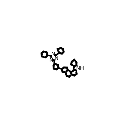 c1ccc(-c2nc(-c3ccccc3)nc(-c3cccc(-c4ccc5c(ccc6ccc7[nH]c8ccccc8c7c65)c4)c3)n2)cc1